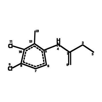 C=C(CC)Nc1ccc(Cl)c(Cl)c1C